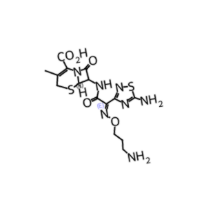 CC1=C(C(=O)O)N2C(=O)C(NC(=O)/C(=N/OCCCN)c3nsc(N)n3)[C@H]2SC1